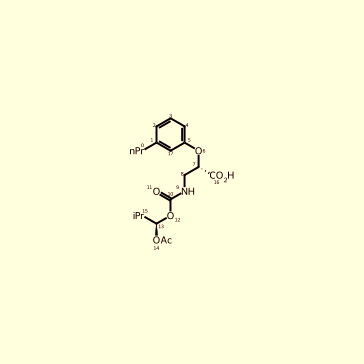 CCCc1cccc(O[C@@H](CNC(=O)O[C@@H](OC(C)=O)C(C)C)C(=O)O)c1